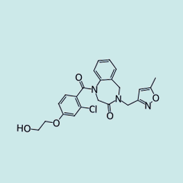 Cc1cc(CN2Cc3ccccc3N(C(=O)c3ccc(OCCO)cc3Cl)CC2=O)no1